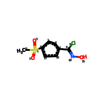 CS(=O)(=O)c1ccc(C(Cl)=NO)cc1